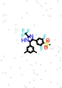 Cc1cc(C)cc(-c2[nH]c(C(F)(F)F)nc2-c2cc(F)c(S(C)(=O)=O)c(F)c2)c1